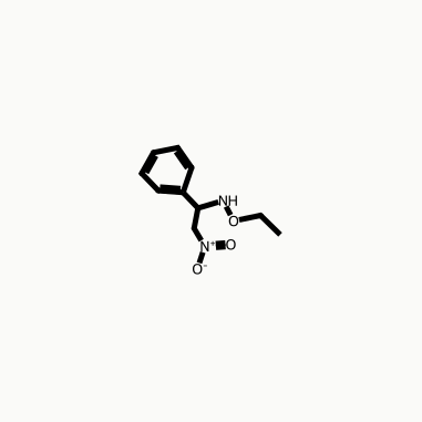 CCONC(C[N+](=O)[O-])c1ccccc1